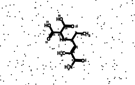 CCC(/C=C(\C)C(N)=O)NC(C(=O)O)C(=O)O